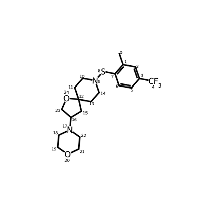 Cc1cc(C(F)(F)F)ccc1SN1CCC2(CC1)CC(N1CCOCC1)CO2